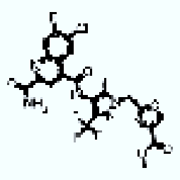 COC(=O)c1coc(Cn2nc(C(F)(F)F)c(NC(=O)c3cc(C(N)=O)nc4cc(F)c(Cl)cc34)c2C)n1